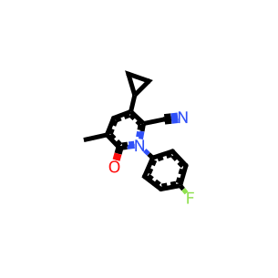 Cc1cc(C2CC2)c(C#N)n(-c2ccc(F)cc2)c1=O